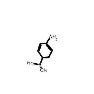 NC1=CCC(B(O)O)C=C1